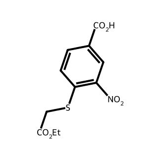 CCOC(=O)CSc1ccc(C(=O)O)cc1[N+](=O)[O-]